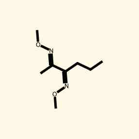 CCCC(=NOC)C(C)=NOC